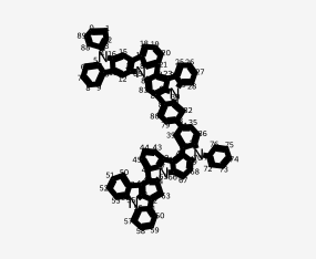 c1ccc(-n2c3ccccc3c3cc4c(cc32)c2cccc3c5c6c7ccccc7n7c8cc(-c9ccc%10c(c9)c9c%11c%12cccc%13c%14c%15c%16ccccc%16n%16c%17ccccc%17c(cc%14n(c%11ccc9n%10-c9ccccc9)c%12%13)c%15%16)ccc8c(cc5n4c23)c67)cc1